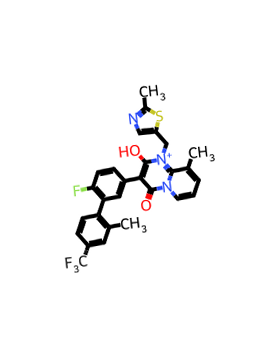 Cc1ncc(C[n+]2c(O)c(-c3ccc(F)c(-c4ccc(C(F)(F)F)cc4C)c3)c(=O)n3cccc(C)c32)s1